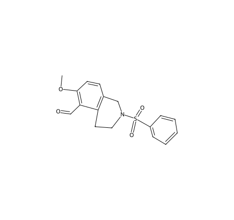 COc1ccc2c(c1C=O)CCN(S(=O)(=O)c1ccccc1)C2